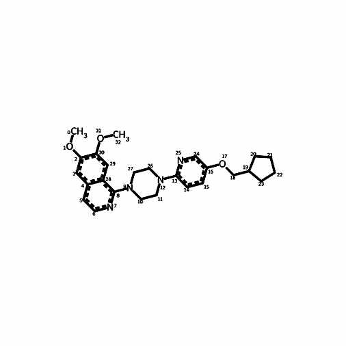 COc1cc2ccnc(N3CCN(c4ccc(OCC5CCCC5)cn4)CC3)c2cc1OC